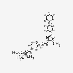 Cc1oc(-c2ccc(-c3ccccc3)cc2)nc1COC[C@H]1CCCC(COC(C)(C)C(=O)O)C1